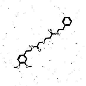 COc1ccc(CCNC(=O)COCCC(=O)NCCc2ccccc2)cc1OC